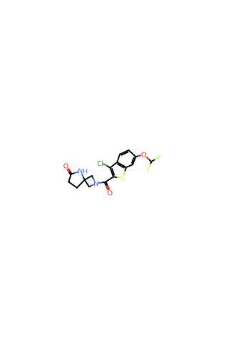 O=C1CCC2(CN(C(=O)c3sc4cc(OC(F)F)ccc4c3Cl)C2)N1